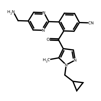 Cc1c(C(=O)c2cc(C#N)ccc2-c2ncc(CN)cn2)cnn1CC1CC1